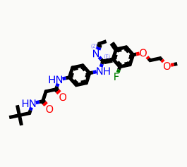 C=c1cc(OCCOC)cc(F)/c1=C(/N=C\C)Nc1ccc(NC(=O)CC(=O)NCC(C)(C)C)cc1